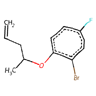 C=CCC(C)Oc1ccc(F)cc1Br